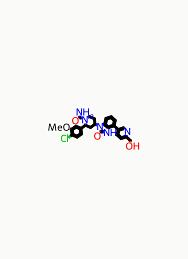 COc1cc(C2CC(n3c(=O)[nH]c4c(-c5ccc(CO)nc5)cccc43)CCN2C(N)=O)ccc1Cl